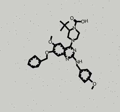 COc1ccc(CNc2nc(N3CCN(C(=O)O)C(C(C)(C)C)C3)c3cc(OC)c(OCc4ccccc4)cc3n2)cc1